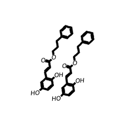 O=C(/C=C/c1cc(O)ccc1O)OCCCc1ccccc1.O=C(C=Cc1cc(O)ccc1O)OCCCc1ccccc1